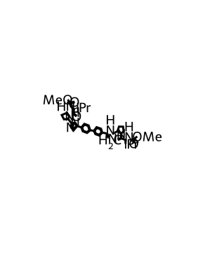 C=C(C(NC(=O)OC)C(C)C)N1CCCC1c1ncc(-c2ccc(-c3ccc(-c4cnc(C5CCCN5C(=O)[C@@H](NC(=O)OC)C(C)C)[nH]4)cc3)cc2)[nH]1